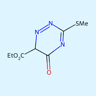 CCOC(=O)C1N=NC(SC)=NC1=O